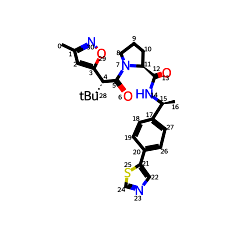 Cc1cc([C@H](C(=O)N2CCC[C@H]2C(=O)N[C@@H](C)c2ccc(-c3cncs3)cc2)C(C)(C)C)on1